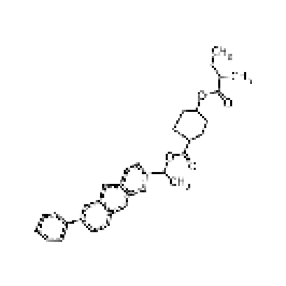 CCC(C)C(=O)OC1CCC(C(=O)OC(C)c2ccc3cc4cc(-c5ccccc5)ccc4cc3c2)CC1